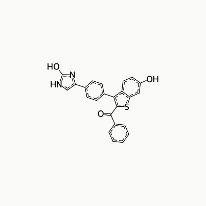 O=C(c1ccccc1)c1sc2cc(O)ccc2c1-c1ccc(-c2c[nH]c(O)n2)cc1